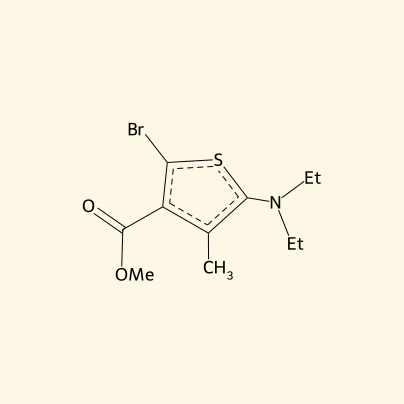 CCN(CC)c1sc(Br)c(C(=O)OC)c1C